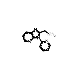 NCc1nc2cccnc2n1-c1ccccn1